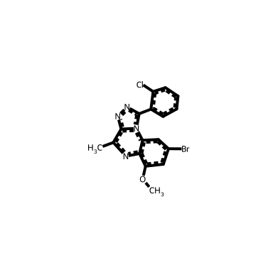 COc1cc(Br)cc2c1nc(C)c1nnc(-c3ccccc3Cl)n12